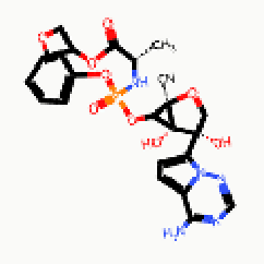 C[C@H](NP(=O)(Oc1ccccc1)OC1[C@]2(O)[C@](O)(c3ccc4c(N)ncnn34)CO[C@]12C#N)C(=O)OC1COC1